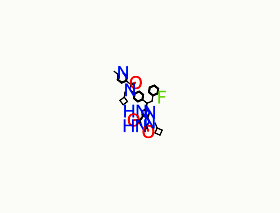 Cc1ccc(C(=O)N(CC2CCC2)c2ccc(C(Cc3ccccc3F)c3nc4c([nH]3)c(=O)[nH]c(=O)n4CC3CCC3)cc2)cn1